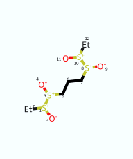 CC[S+]([O-])[S+]([O-])CCC[S+]([O-])[S+]([O-])CC